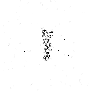 COc1c(-c2ncc3nc(C4CCN(C(=O)OC(C)(C)C)CC4)ccc3n2)cc2cn(C)nc2c1C#N